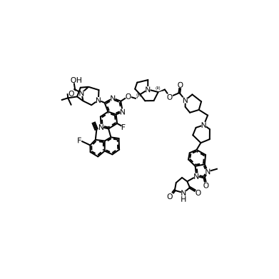 C#Cc1c(F)ccc2cccc(-c3ncc4c(N5CC6CC(C(C)(C)C)C(C5)N6C(=O)O)nc(OC[C@]56CCCN5[C@@H](COC(=O)N5CCC(CN7CCC(c8ccc9c(c8)n(C)c(=O)n9C8CCC(=O)NC8=O)CC7)CC5)CC6)nc4c3F)c12